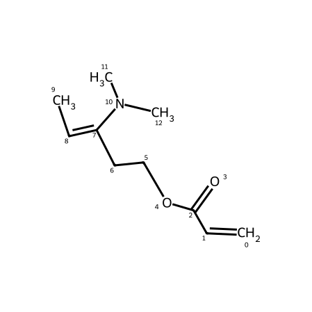 C=CC(=O)OCCC(=CC)N(C)C